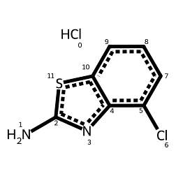 Cl.Nc1nc2c(Cl)cccc2s1